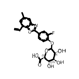 C=Cc1cc(C)cc2nc(-c3ccc(OC4O[C@H](C(=O)O)[C@@H](O)[C@H](O)[C@H]4O)c(F)c3)oc12